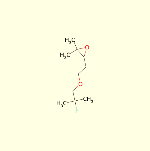 CC(C)(F)COCCC1OC1(C)C